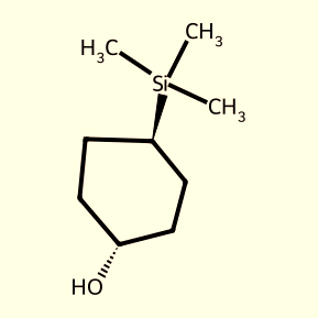 C[Si](C)(C)[C@H]1CC[C@H](O)CC1